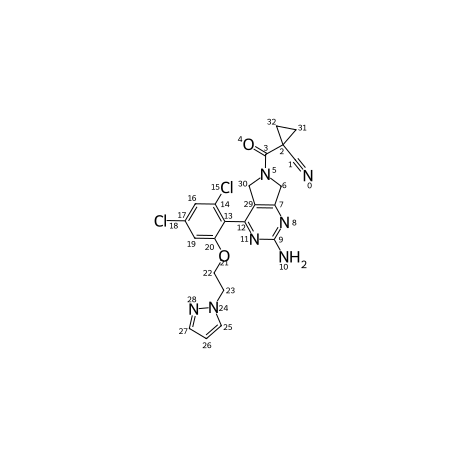 N#CC1(C(=O)N2Cc3nc(N)nc(-c4c(Cl)cc(Cl)cc4OCCn4cccn4)c3C2)CC1